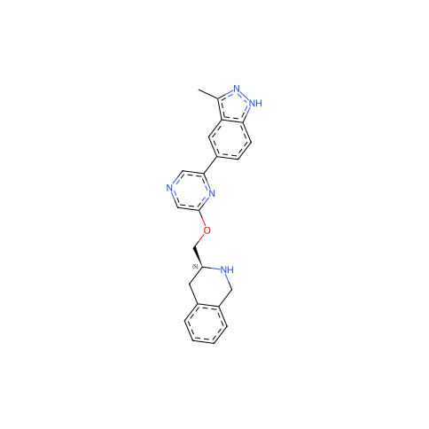 Cc1n[nH]c2ccc(-c3cncc(OC[C@@H]4Cc5ccccc5CN4)n3)cc12